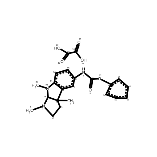 CN1CCC2(C)c3cc(NC(=O)Oc4ccccc4)ccc3N(C)C12.O=C(O)C(=O)O